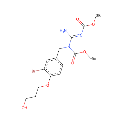 CC(C)(C)OC(=O)/N=C(\N)N(Cc1ccc(OCCCO)c(Br)c1)C(=O)OC(C)(C)C